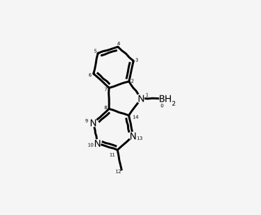 Bn1c2ccccc2c2nnc(C)nc21